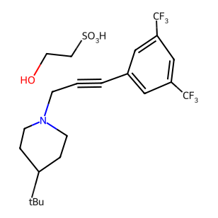 CC(C)(C)C1CCN(CC#Cc2cc(C(F)(F)F)cc(C(F)(F)F)c2)CC1.O=S(=O)(O)CCO